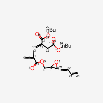 C=C(C)C(=O)OCC1CO1.C=C(CC(=O)OCCCC)C(=O)OCCCC.C=CC=C